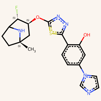 C[C@@]12CCC(N1)[C@H](F)[C@@H](Oc1nnc(-c3ccc(-n4ccnc4)cc3O)s1)C2